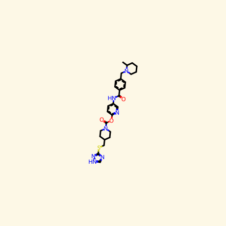 CC1CCCCN1Cc1ccc(C(=O)Nc2ccc(OC(=O)N3CCC(CSc4nc[nH]n4)CC3)nc2)cc1